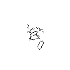 CCOC(=O)Nc1cc2ncc(-c3ccccc3)nc2c(NC(C)=O)n1